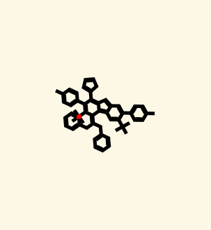 Cc1ccc(-c2cc3c(cc2C(C)(C)C)=c2c(c(C4=CC=CC4)c(-c4ccc(C)cc4)c(C(C)(C)C)c2=C(Cc2ccccc2)Cc2ccccc2)C=3)cc1